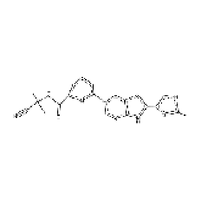 Cc1ncc(-c2cc3cc(-c4cccc(C(=O)NC(C)(C)C#N)n4)cnc3[nH]2)s1